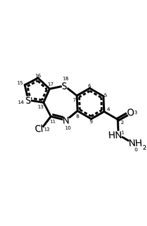 NNC(=O)c1ccc2c(c1)N=C(Cl)c1sccc1S2